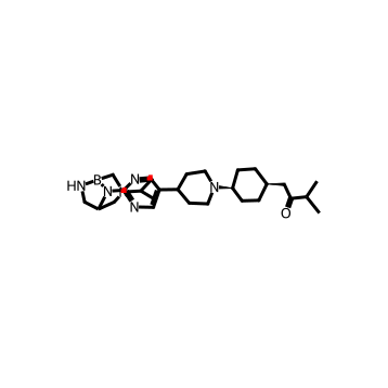 CC(C)C(=O)C[C@H]1CC[C@@H](N2CCC(c3cnc(N4B5CN(C(C)C)CC4CN5)nc3)CC2)CC1